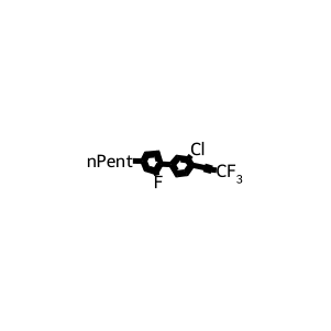 CCCCCc1ccc(-c2ccc(C#CC(F)(F)F)c(Cl)c2)c(F)c1